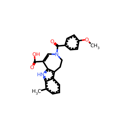 COc1ccc(C(=O)N2C=C(C(=O)O)c3[nH]c4c(C)cccc4c3CC2)cc1